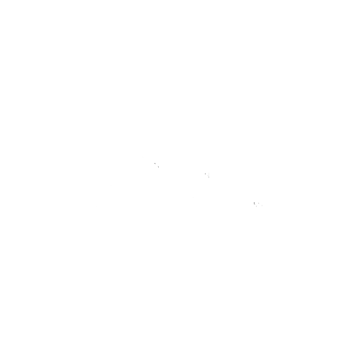 COC(=O)c1cccc2oc(-c3cccc4oc(-c5cccc(CO)c5)nc34)nc12